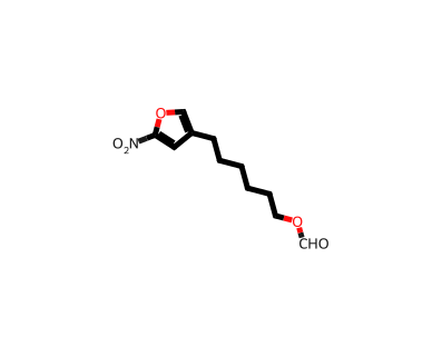 O=COCCCCCCc1coc([N+](=O)[O-])c1